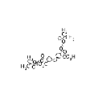 C=C(C)C(=O)OCCOC(=O)C1=C(C(=O)O)C=C(Oc2ccc(C(=O)OCCOC(=O)C(=C)C)c(C(=O)O)c2)CC1